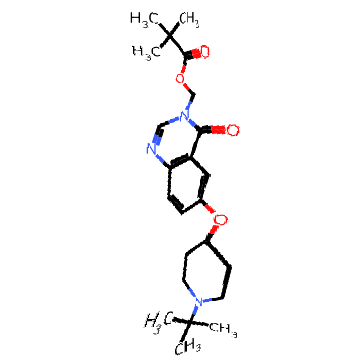 CC(C)(C)C(=O)OCn1cnc2ccc(OC3CCN(C(C)(C)C)CC3)cc2c1=O